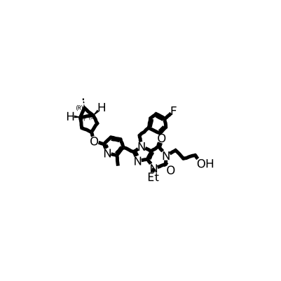 CCn1c(=O)n(CCCO)c(=O)c2c1nc(-c1ccc(OC3C[C@@H]4[C@H](C)[C@@H]4C3)nc1C)n2Cc1ccc(F)cc1